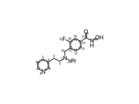 CC(C)N(CCc1cccnc1)Cc1ccc(C(=O)NO)cc1F